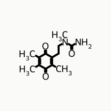 CC1=C(C)C(=O)C(CCN(C)C(N)=O)=C(C)C1=O